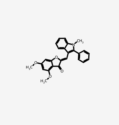 COc1cc(OC)c2c(c1)OC(=Cc1c(-c3ccccc3)n(C)c3ccccc13)C2=O